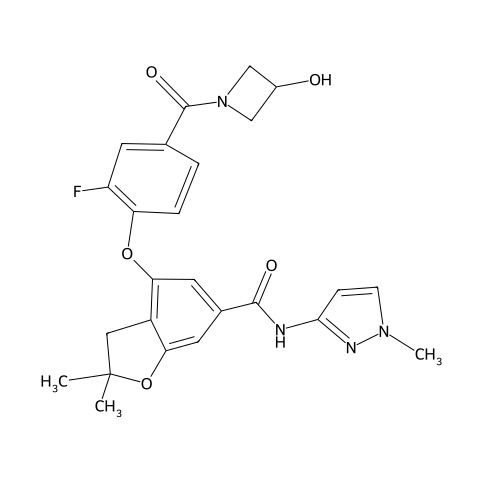 Cn1ccc(NC(=O)c2cc(Oc3ccc(C(=O)N4CC(O)C4)cc3F)c3c(c2)OC(C)(C)C3)n1